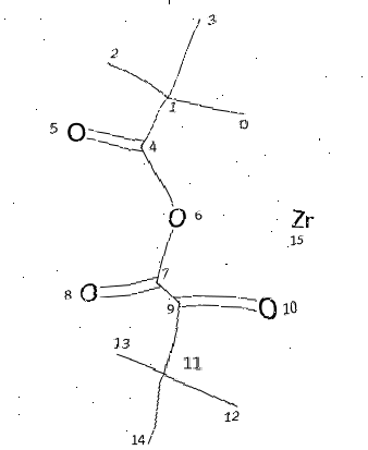 CC(C)(C)C(=O)OC(=O)C(=O)C(C)(C)C.[Zr]